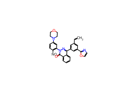 C=Cc1cc(-c2ncco2)cc(-c2nn(-c3cc(N4CCOCC4)ccc3[N+](=O)[O-])c(=O)c3ccccc23)c1